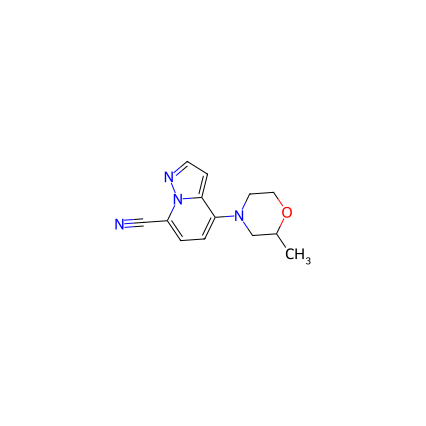 CC1CN(c2ccc(C#N)n3nccc23)CCO1